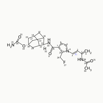 C=C(/C=C/n1ccc(C(=O)N[C@H]2C3CC4CC2C[C@](OC(N)=O)(C4)C3)c1CF)NC(C)=O